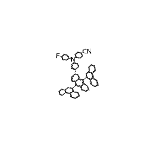 N#Cc1ccc(N(c2ccc(F)cc2)c2ccc(-c3ccc4c(-c5cc6ccccc6c6ccccc56)c5ccccc5c(-c5cc6ccccc6c6ccccc56)c4c3)cc2)cc1